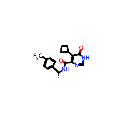 C[C@@H](NC(=O)c1nc[nH]c(=O)c1C1CCC1)c1ccc(C(F)(F)F)cc1